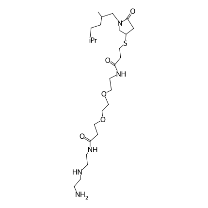 CC(C)CCC(C)CN1CC(SCCC(=O)NCCOCCOCCC(=O)NCCNCCN)CC1=O